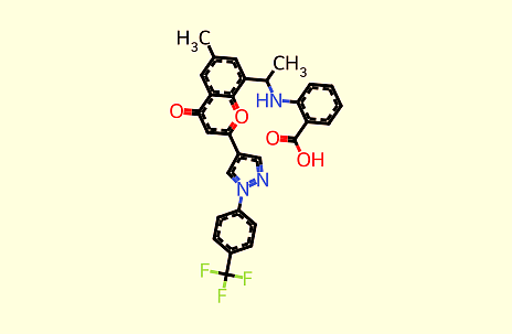 Cc1cc(C(C)Nc2ccccc2C(=O)O)c2oc(-c3cnn(-c4ccc(C(F)(F)F)cc4)c3)cc(=O)c2c1